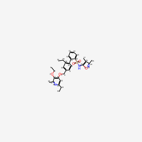 CCOc1c(OCc2ccc(-c3ccccc3S(=O)(=O)Nc3onc(C)c3C)c(CC)c2)cc(CC)nc1C